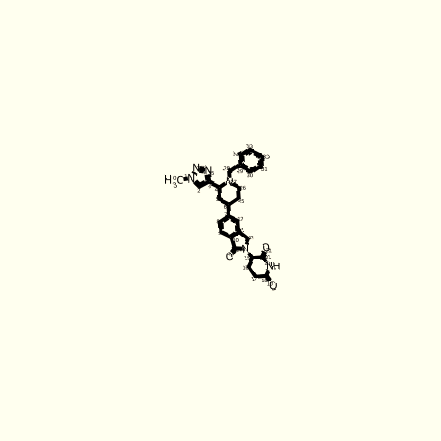 Cn1cc(C2CC(c3ccc4c(c3)CN(C3CCC(=O)NC3=O)C4=O)CCN2Cc2ccccc2)nn1